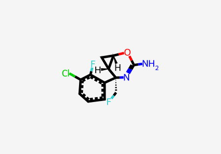 NC1=N[C@@](CF)(c2cccc(Cl)c2F)[C@@H]2C[C@@H]2O1